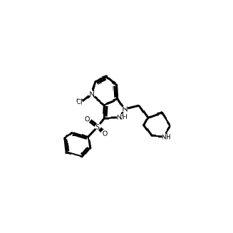 O=S(=O)(C1=C2C(=CC=CN2Cl)N(CC2CCNCC2)N1)c1ccccc1